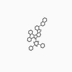 c1ccc(-c2nc(-c3ccccc3)nc(-n3c4ccc5sc6c(-c7ccc8ccccc8c7)cccc6c5c4c4c5ccccc5c5ccccc5c43)n2)cc1